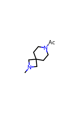 CC(=O)N1CCC2(CC1)CN(C)C2